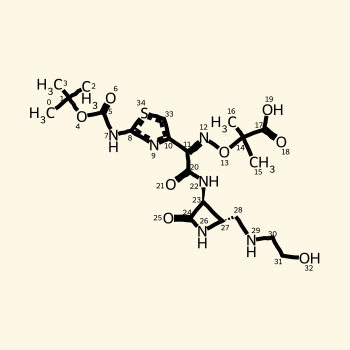 CC(C)(C)OC(=O)Nc1nc(C(=NOC(C)(C)C(=O)O)C(=O)N[C@@H]2C(=O)N[C@H]2CNCCO)cs1